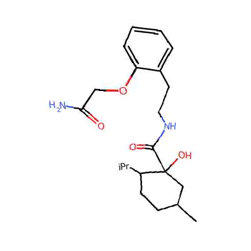 CC1CCC(C(C)C)C(O)(C(=O)NCCc2ccccc2OCC(N)=O)C1